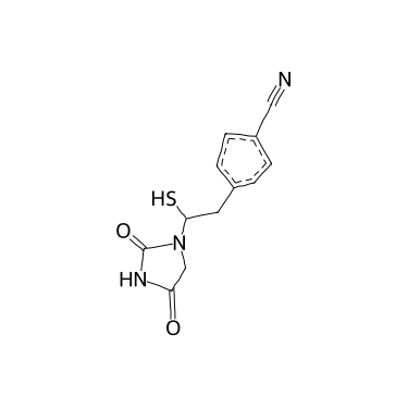 N#Cc1ccc(CC(S)N2CC(=O)NC2=O)cc1